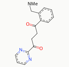 CNCc1ccccc1C(=O)CCC(=O)c1ncccn1